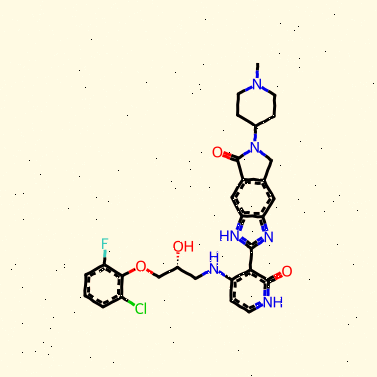 CN1CCC(N2Cc3cc4nc(-c5c(NC[C@@H](O)COc6c(F)cccc6Cl)cc[nH]c5=O)[nH]c4cc3C2=O)CC1